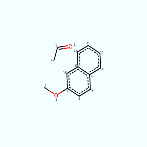 CC=O.COc1ccc2ccccc2c1